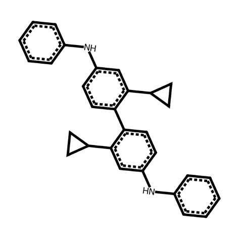 c1ccc(Nc2ccc(-c3ccc(Nc4ccccc4)cc3C3CC3)c(C3CC3)c2)cc1